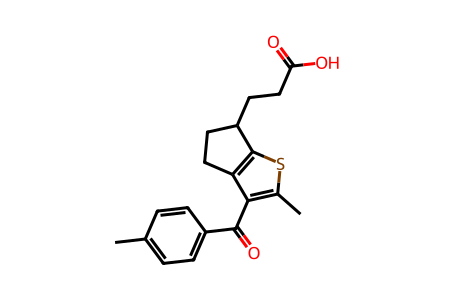 Cc1ccc(C(=O)c2c(C)sc3c2CCC3CCC(=O)O)cc1